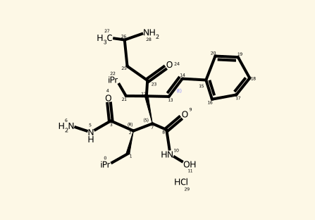 CC(C)C[C@@H](C(=O)NN)[C@H](C(=O)NO)C(/C=C/c1ccccc1)(CC(C)C)C(=O)CC(C)N.Cl